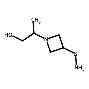 CC(CO)N1CC(SN)C1